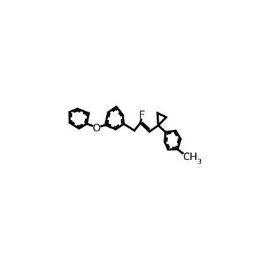 Cc1ccc(C2(C=C(F)Cc3cccc(Oc4ccccc4)c3)CC2)cc1